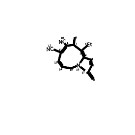 C=C/C=C\C1=C(/CC)C(C)/C(C#N)=C(C#N)\C=C/CN1C